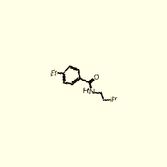 CCc1ccc(C(=O)NCCC(C)C)cc1